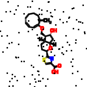 C=C1CCCC/C=C\C=C/1OC[C@@H]1[C@H]2CC[C@H](c3nc(C(=O)O)cs3)O[C@H]2C[C@H]1O